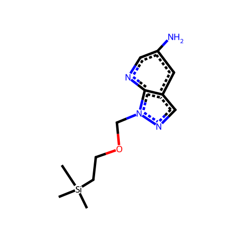 C[Si](C)(C)CCOCn1ncc2cc(N)cnc21